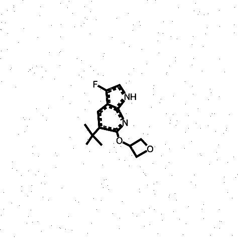 CC(C)(C)c1cc2c(F)c[nH]c2nc1OC1COC1